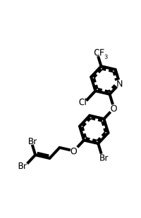 FC(F)(F)c1cnc(Oc2ccc(OCC=C(Br)Br)c(Br)c2)c(Cl)c1